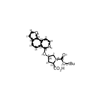 CC(C)(C)OC(=O)N1C[C@H](Oc2nccc3c2ccc2ccoc23)CC1C(=O)O